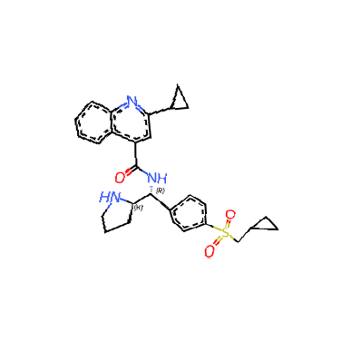 O=C(N[C@H](c1ccc(S(=O)(=O)CC2CC2)cc1)[C@H]1CCCN1)c1cc(C2CC2)nc2ccccc12